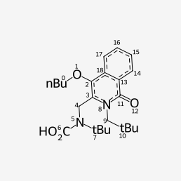 CCCCOc1c(CN(C(=O)O)C(C)(C)C)n(CC(C)(C)C)c(=O)c2ccccc12